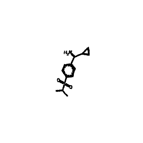 CC(C)S(=O)(=O)c1ccc(C(N)C2CC2)cc1